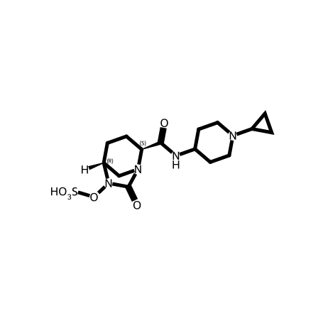 O=C(NC1CCN(C2CC2)CC1)[C@@H]1CC[C@@H]2CN1C(=O)N2OS(=O)(=O)O